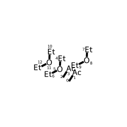 CC(C)=O.CC(C)=O.CCOCC.CCOCC.CCOCC